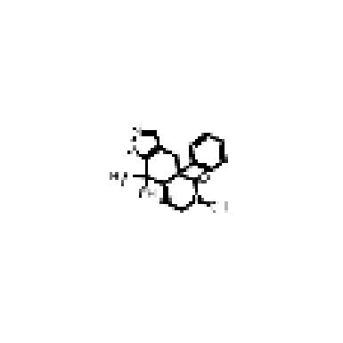 CN1CC=C2C(C)(C)c3oncc3CC2(c2ccccc2)C1=O